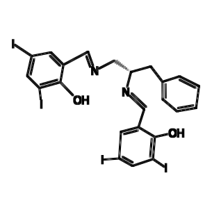 Oc1c(I)cc(I)cc1C=NC[C@H](Cc1ccccc1)N=Cc1cc(I)cc(I)c1O